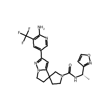 C[C@H](NC(=O)N1CCC2(CCn3nc(-c4cnc(N)c(C(F)(F)F)c4)cc32)C1)c1ccon1